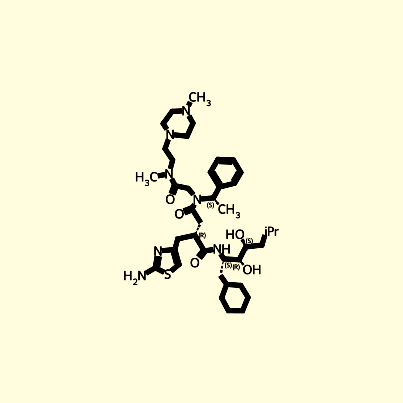 CC(C)C[C@H](O)[C@H](O)[C@H](CC1CCCCC1)NC(=O)[C@@H](CC(=O)N(CC(=O)N(C)CCN1CCN(C)CC1)[C@@H](C)c1ccccc1)Cc1csc(N)n1